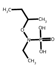 CCC(C)ON(CC)P(=O)(O)O